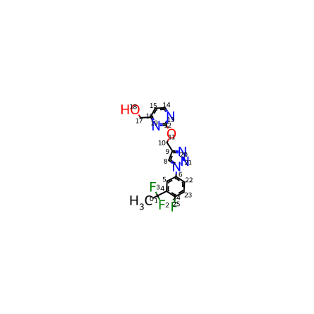 CC(F)(F)c1cc(-n2cc(COc3nccc(CO)n3)nn2)ccc1F